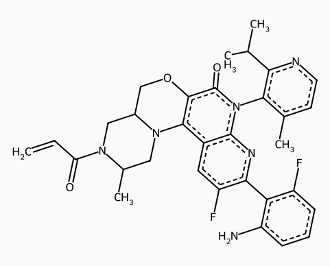 C=CC(=O)N1CC2COc3c(c4cc(F)c(-c5c(N)cccc5F)nc4n(-c4c(C)ccnc4C(C)C)c3=O)N2CC1C